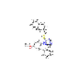 CCOc1ccc(-n2c(SCc3ccc4ccccc4c3)nnc2-c2ccccc2)cc1